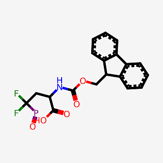 O=PC(F)(F)CC(NC(=O)OCC1c2ccccc2-c2ccccc21)C(=O)O